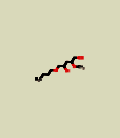 CCCCOCC(O)CC(CO)OC